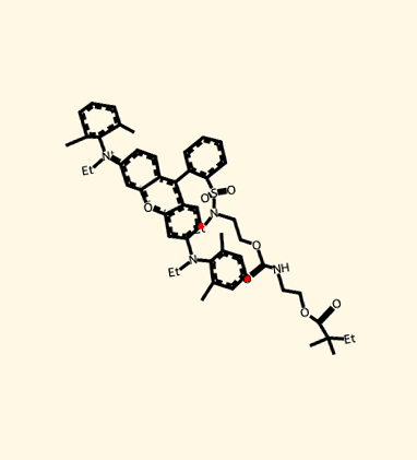 CCN(c1ccc2c(-c3ccccc3S(=O)(=O)N(CC)CCOC(=O)NCCOC(=O)C(C)(C)CC)c3cc/c(=[N+](/CC)c4c(C)cccc4C)cc-3oc2c1)c1c(C)cccc1C